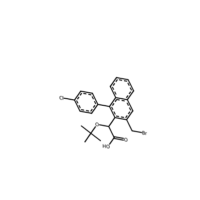 CC(C)(C)OC(C(=O)O)c1c(CBr)cc2ccccc2c1-c1ccc(Cl)cc1